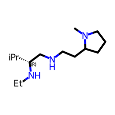 CCN[C@@H](CNCCC1CCCN1C)C(C)C